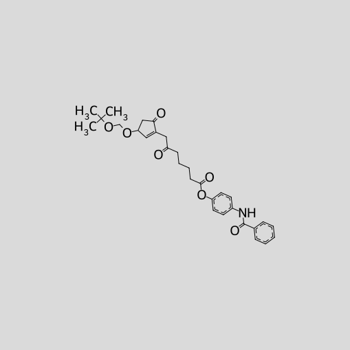 CC(C)(C)OCOC1C=C(CC(=O)CCCCC(=O)Oc2ccc(NC(=O)c3ccccc3)cc2)C(=O)C1